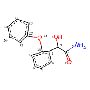 NC(=O)C(O)c1ccccc1Oc1ccccc1